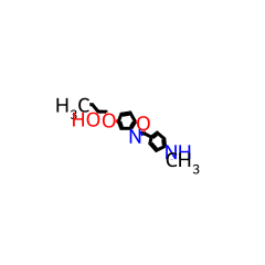 CC[C@H](O)COc1ccc2oc(-c3ccc(NC)cc3)nc2c1